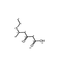 CCSC(C)CC(=O)CC(=O)O